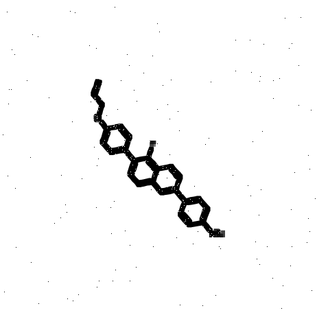 C=CCOc1ccc(-c2ccc3cc(-c4ccc(CCCC)cc4)ccc3c2F)cc1